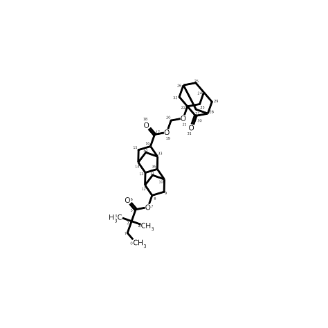 CCC(C)(C)C(=O)OC1CC2CC1C1C3CC(C(=O)OCOC45CC6CC(CC(C6)C4=O)C5)C(C3)C21